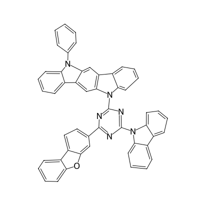 c1ccc(-n2c3ccccc3c3cc4c(cc32)c2ccccc2n4-c2nc(-c3ccc4c(c3)oc3ccccc34)nc(-n3c4ccccc4c4ccccc43)n2)cc1